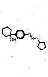 OC1(c2ccc(/N=N/NC3CCCC3)cc2)CCCCC1